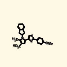 COc1ccc(-c2nc(-c3cc(C(=O)O)c(C)n3C3Cc4ccccc4C3)cs2)cc1